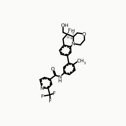 Cc1ccc(NC(=O)c2ccnc(C(F)(F)F)c2)cc1-c1ccc2c(c1)N1CCOC[C@@H]1[C@](F)(CO)C2